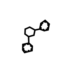 [c]1ccc(C2CCCC(c3ccccc3)C2)cc1